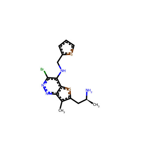 Cc1c(C[C@H](C)N)sc2c(NCc3cccs3)c(Br)nnc12